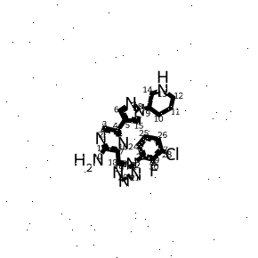 Nc1ncc(-c2cnn(C3CCCNC3)c2)nc1-c1nnnn1-c1cccc(Cl)c1F